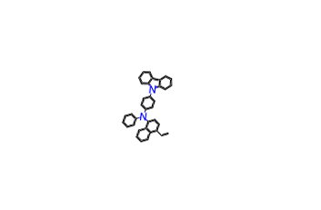 C=Cc1ccc(N(c2ccccc2)c2ccc(-n3c4ccccc4c4ccccc43)cc2)c2ccccc12